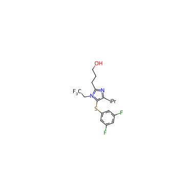 CC(C)c1nc(CCCO)n(CC(F)(F)F)c1Sc1cc(F)cc(F)c1